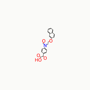 O=CN(CCOc1ccc2ccccc2c1)c1ccc(C(=O)C(=O)O)cc1